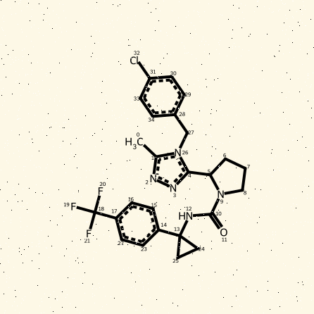 Cc1nnc(C2CCCN2C(=O)NC2(c3ccc(C(F)(F)F)cc3)CC2)n1Cc1ccc(Cl)cc1